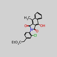 CCOC(=O)Cc1ccc(N2C(=O)c3c(c(O)c4ccccc4c3C)C2=O)c(Cl)c1